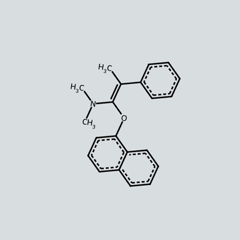 CC(=C(Oc1cccc2ccccc12)N(C)C)c1ccccc1